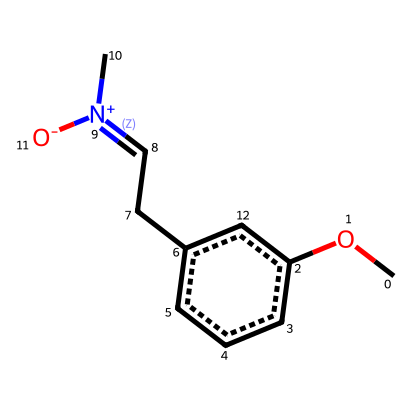 COc1cccc(C/C=[N+](/C)[O-])c1